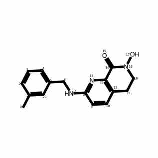 Cc1cccc(CNc2ccc3c(n2)C(=O)N(O)CC3)c1